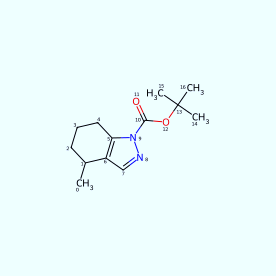 CC1CCCc2c1cnn2C(=O)OC(C)(C)C